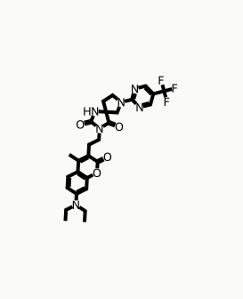 CCN(CC)c1ccc2c(C)c(CCN3C(=O)NC4(CCN(c5ncc(C(F)(F)F)cn5)C4)C3=O)c(=O)oc2c1